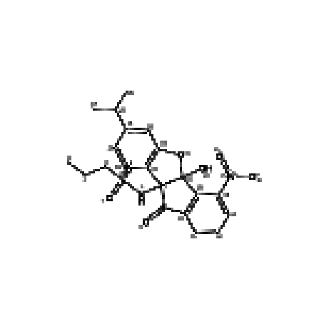 CCCS(=O)(=O)NC12C(=O)c3cccc([N+](=O)[O-])c3C1(O)Oc1cc(C(C)C)ccc12